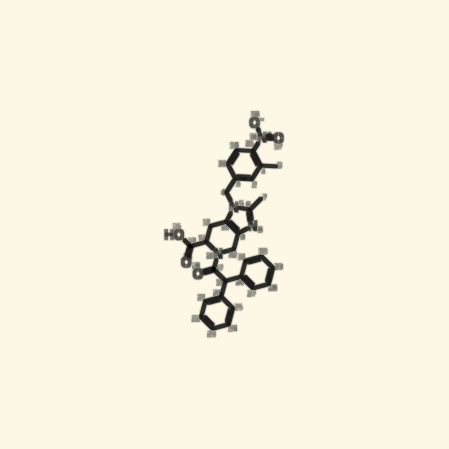 Cc1cc(Cn2c(C)nc3c2CC(C(=O)O)N(C(=O)C(c2ccccc2)c2ccccc2)C3)ccc1[N+](=O)[O-]